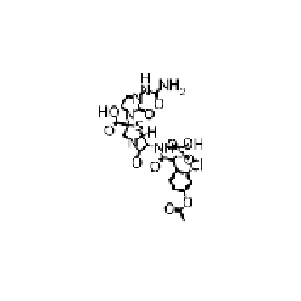 CC(=O)Oc1ccc(C(C(=O)N[C@@H]2C(=O)N3C[C@@](C(=O)O)(N4CCN(NC(N)=O)C4=O)S[C@H]23)S(=O)(=O)O)c(Cl)c1